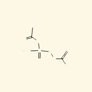 CCC(=O)ONP(=O)(OC)OC(=O)C(C)(C)C